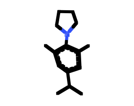 Cc1cc(C(C)C)cc(C)c1N1CCCC1